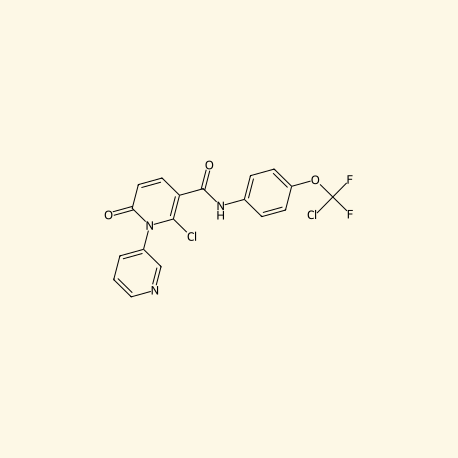 O=C(Nc1ccc(OC(F)(F)Cl)cc1)c1ccc(=O)n(-c2cccnc2)c1Cl